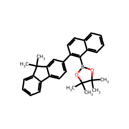 CC1(C)c2ccccc2-c2ccc(-c3ccc4ccccc4c3B3OC(C)(C)C(C)(C)O3)cc21